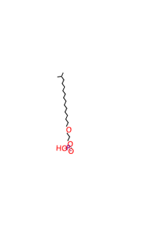 CC(C)CCCCCCCCCCCCCCOCCCO[P](=O)O